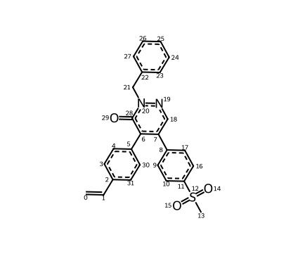 C=Cc1ccc(-c2c(-c3ccc(S(C)(=O)=O)cc3)cnn(Cc3ccccc3)c2=O)cc1